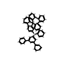 c1ccc(-c2cc(-c3ccccc3)cc(N(c3ccccc3)c3ccc4c(c3)C3(c5ccccc5-c5ccccc5-c5ccccc53)c3ccccc3-4)c2)cc1